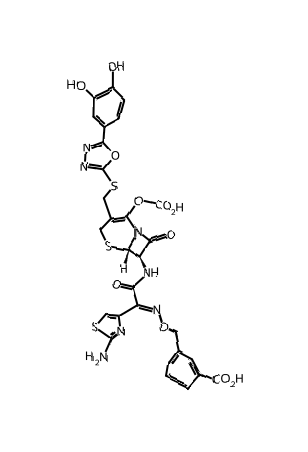 Nc1nc(C(=NOCc2cccc(C(=O)O)c2)C(=O)N[C@@H]2C(=O)N3C(OC(=O)O)=C(CSc4nnc(-c5ccc(O)c(O)c5)o4)CS[C@@H]23)cs1